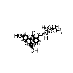 CC(C)(C)OC(=O)NCCCc1cccc2c1C(=O)OC21c2ccc(O)cc2Oc2cc(O)ccc21